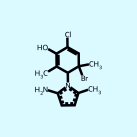 CC1=C(O)C(Cl)=CC(C)(Br)C1n1c(C)ccc1N